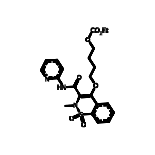 CCOC(=O)OCCCCOC1=C(C(=O)Nc2ccccn2)N(C)S(=O)(=O)c2ccccc21